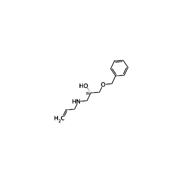 C=CCNC[C@H](O)COCc1ccccc1